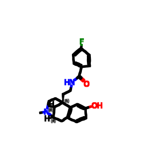 C[C@H]1[C@H]2Cc3ccc(O)cc3[C@@]1(CCNC(=O)c1ccc(F)cc1)CCN2C